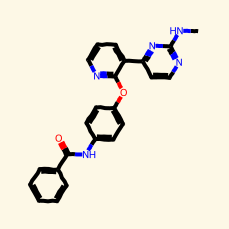 CNc1nccc(-c2cccnc2Oc2ccc(NC(=O)c3ccccc3)cc2)n1